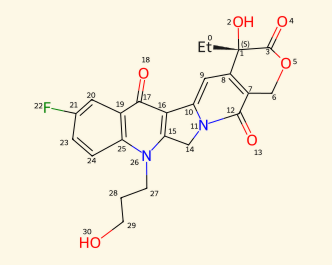 CC[C@@]1(O)C(=O)OCc2c1cc1n(c2=O)Cc2c-1c(=O)c1cc(F)ccc1n2CCCO